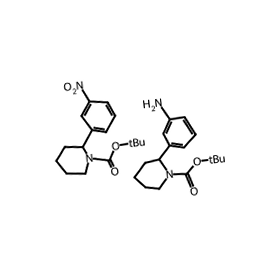 CC(C)(C)OC(=O)N1CCCCC1c1cccc(N)c1.CC(C)(C)OC(=O)N1CCCCC1c1cccc([N+](=O)[O-])c1